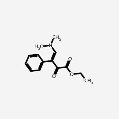 CCOC(=O)C(=O)/C(=C/N(C)C)c1ccccc1